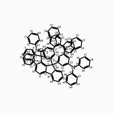 CC1(C)c2ccccc2-c2ccc3c(c21)C(c1cc(N(c2ccccc2)c2ccccc2)cc(N(c2ccccc2)c2ccccc2)c1)(c1cc(N(c2ccccc2)c2ccccc2)cc(N(c2ccccc2)c2ccccc2)c1)c1ccccc1-3